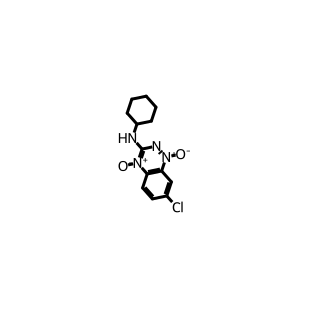 [O-][n+]1nc(NC2CCCCC2)[n+]([O-])c2ccc(Cl)cc21